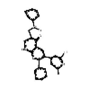 Cc1cc(-c2cc3c(=O)c(C[S+]([O-])c4ccccc4)c[nH]c3nc2-c2ccccc2)cc(Cl)n1